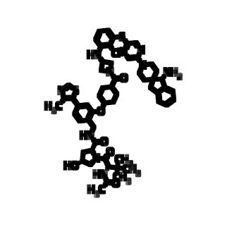 CC(=O)N[C@H](C(=O)N1C[C@H](O)C[C@H]1C(=O)NCc1ccc(-c2scnc2C)cc1OC1CCC(C(=O)N2CC(Nc3cccc(Sc4cnc(N5CCC6(CC5)Cc5ccccc5[C@@H]6N)cn4)c3Cl)C2)CC1)C(C)(C)C